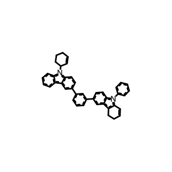 C1=CC(n2c3ccccc3c3cc(-c4cccc(-c5ccc6c(c5)c5c(n6-c6ccccc6)C=CCC5)c4)ccc32)CCC1